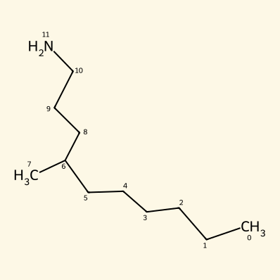 CCCCCCC(C)CCCN